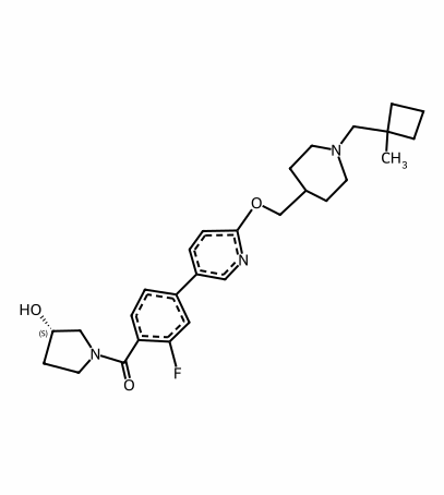 CC1(CN2CCC(COc3ccc(-c4ccc(C(=O)N5CC[C@H](O)C5)c(F)c4)cn3)CC2)CCC1